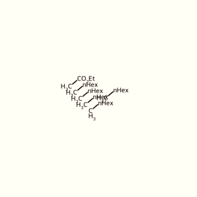 CCCCCCC.CCCCCCC.CCCCCCC.CCCCCCC.CCCCCCC.CCOC(C)=O